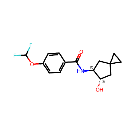 O=C(N[C@H]1CC2(CC2)C[C@@H]1O)c1ccc(OC(F)F)cc1